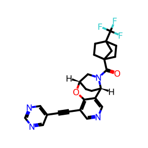 O=C(N1C[C@@H]2CC[C@H]1c1cncc(C#Cc3cncnc3)c1O2)C12CCC(C(F)(F)F)(CC1)C2